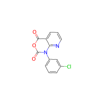 O=c1oc(=O)n(-c2cccc(Cl)c2)c2ncccc12